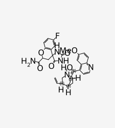 C=C[C@H]1C[N+]2(C)CC[C@H]1C[C@H]2[C@H](O)c1ccnc2ccc(OC)cc12.NC(=O)C1CC2(NC(=O)NC2=O)c2cc(F)ccc2O1